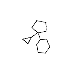 C1CCC(C2(C3CC3)CCCC2)CC1